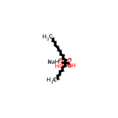 CCCCCCCCCCCCC(CCCCCCCC)(C(=O)O)C(=O)O.[NaH]